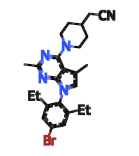 CCc1cc(Br)cc(CC)c1-n1cc(C)c2c(N3CCC(CC#N)CC3)nc(C)nc21